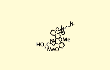 COc1cccc(OC)c1-c1cc(C(=O)O)nn1-c1ccc(S(=O)(=O)N(C)CCCN(C)C)c2ccccc12